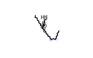 CCCCC/C=C\C/C=C\CCCCCCCCN(CCCCCCCC)C(=O)OCCCNC